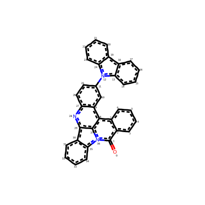 O=c1c2ccccc2c2c3cc(-n4c5ccccc5c5ccccc54)ccc3nc3c4ccccc4n1c32